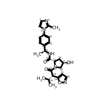 Cc1nccn1-c1ccc([C@H](C)NC(=O)[C@@H]2C[C@@H](O)CN2C(=O)[C@H](c2ccno2)C(C)C)cc1